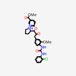 COC(=O)c1ccc(OC(C(=O)Cc2ccc(NC(=O)Nc3ccccc3Cl)c(OC)c2)C2CCCN2)nc1